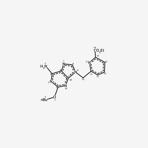 CCCCOc1nc(N)c2ncn(Cc3cccc(C(=O)OCC)n3)c2n1